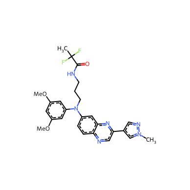 COc1cc(OC)cc(N(CCCNC(=O)C(C)(F)F)c2ccc3ncc(-c4cnn(C)c4)nc3c2)c1